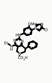 CCNc1nc(Nc2ccc(-n3cnc(Cl)c3)c(OC)c2)nc2c1CN(C(=O)O)CC2c1ccccc1